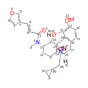 CN(C(=O)/C=C/c1ccoc1)[C@H]1CC[C@]2(O)[C@@H]3Cc4ccc(O)c5c4[C@]2(CCN3CC2CC2)[C@@H]1O5